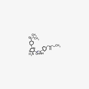 CCCNCc1ccc(C(=N)/C=C(\O)c2nc(-c3ccc([S+]([O-])C(C)C)cc3)cnc2N)cc1